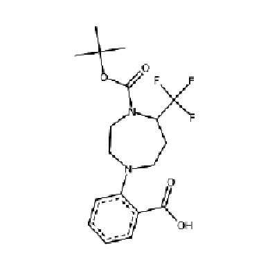 CC(C)(C)OC(=O)N1CCN(c2ccccc2C(=O)O)CCC1C(F)(F)F